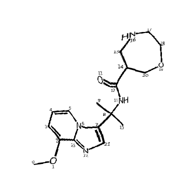 COc1cccn2c(C(C)(C)NC(=O)C3CNCCOC3)cnc12